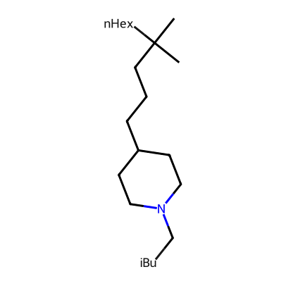 CCCCCCC(C)(C)CCCC1CCN(CC(C)CC)CC1